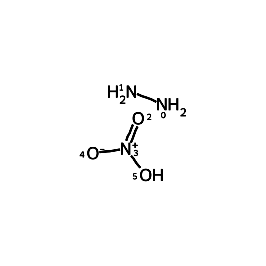 NN.O=[N+]([O-])O